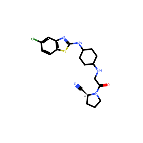 N#C[C@@H]1CCCN1C(=O)CNC1CCC(Nc2nc3cc(Cl)ccc3s2)CC1